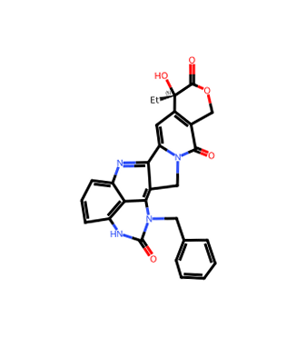 CC[C@@]1(O)C(=O)OCc2c1cc1n(c2=O)Cc2c-1nc1cccc3c1c2N(Cc1ccccc1)C(=O)N3